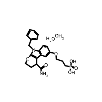 NC(=O)C1CCCc2c1c1cc(OCCCP(=O)(O)O)ccc1n2Cc1ccccc1.O.O